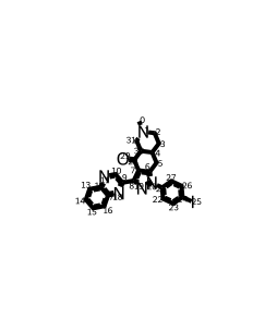 CN1CCC2Cc3c(c(-c4cnc5ccccc5n4)nn3-c3ccc(I)cc3)C(=O)C2C1